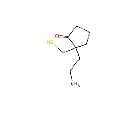 CCCC1(CS)CCCC1=O